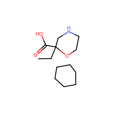 C1CCCCC1.CCC1(C(=O)O)CNCCO1